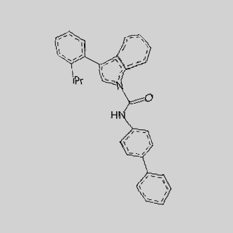 CC(C)c1ccccc1-c1cn(C(=O)Nc2ccc(-c3ccccc3)cc2)c2ccccc12